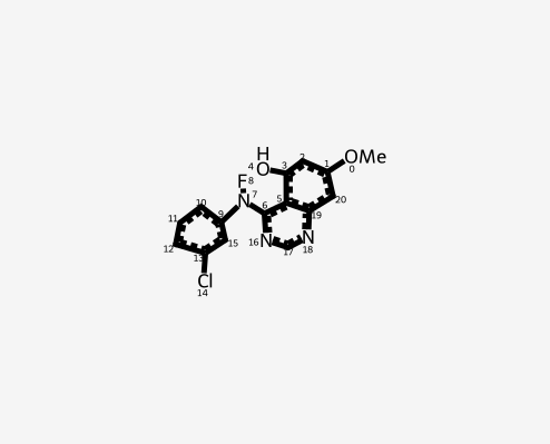 COc1cc(O)c2c(N(F)c3cccc(Cl)c3)ncnc2c1